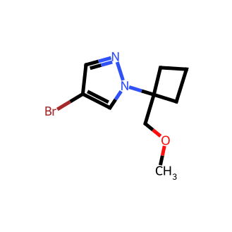 COCC1(n2cc(Br)cn2)CCC1